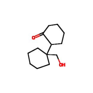 O=C1CCCCC1C1(CO)CCCCC1